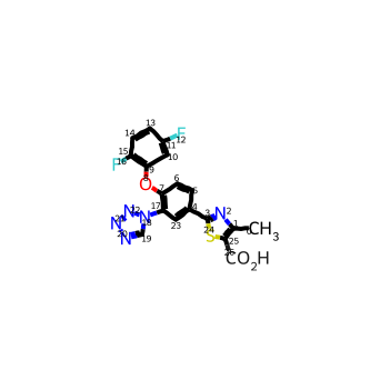 Cc1nc(-c2ccc(Oc3cc(F)ccc3F)c(-n3cnnn3)c2)sc1C(=O)O